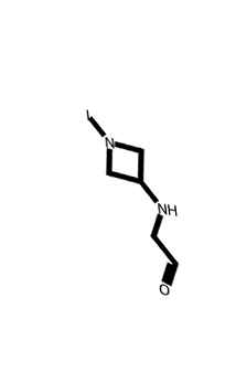 O=CCNC1CN(I)C1